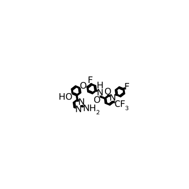 Nc1nccc(-c2cc(Oc3ccc(NC(=O)c4ccc(C(F)(F)F)n(-c5ccc(F)cc5)c4=O)cc3F)ccc2O)n1